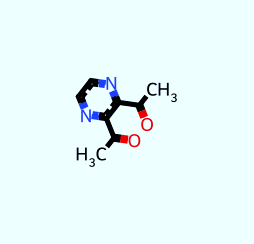 CC(=O)c1nccnc1C(C)=O